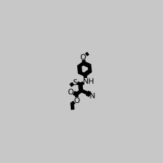 CCOC(=O)/C(C#N)=C(/Nc1ccc(OC)cc1)SC